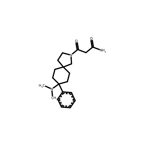 CN(C)C1(c2ccccc2)CCC2(CCN(C(=O)CC(N)=O)C2)CC1